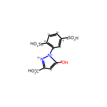 O=C(O)c1[c]c(O)n(-c2cc(S(=O)(=O)O)ccc2S(=O)(=O)O)n1